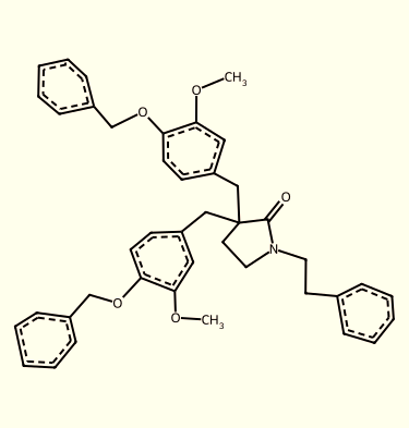 COc1cc(CC2(Cc3ccc(OCc4ccccc4)c(OC)c3)CCN(CCc3ccccc3)C2=O)ccc1OCc1ccccc1